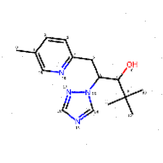 Cc1ccc(CC(C(O)C(C)(C)C)n2cncn2)nc1